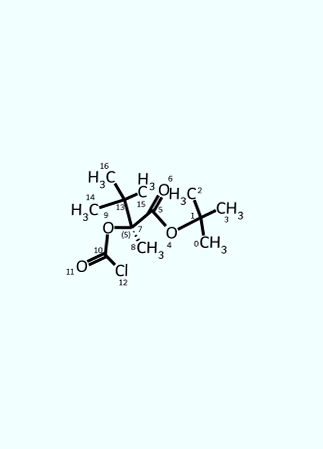 CC(C)(C)OC(=O)[C@@](C)(OC(=O)Cl)C(C)(C)C